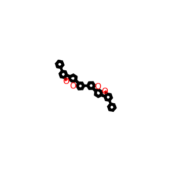 c1ccc(-c2ccc3oc4c(ccc5c6cc(-c7ccc8oc9c(ccc%10c%11cc(-c%12ccccc%12)ccc%11oc%109)c8c7)ccc6oc54)c3c2)cc1